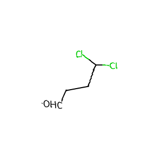 O=[C]CCC(Cl)Cl